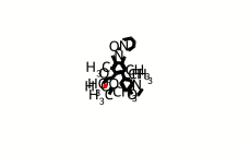 Cc1c(-c2c(C)c3c(c(C)c2C(OC(C)(C)C)C(=O)O)CN(C(=O)N2CCCCC2)C3)ccc2c1NCCO2